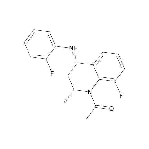 CC(=O)N1c2c(F)cccc2[C@@H](Nc2ccccc2F)C[C@H]1C